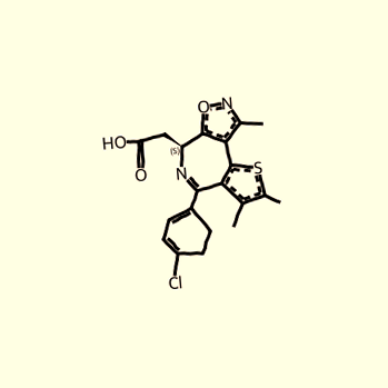 Cc1noc2c1-c1sc(C)c(C)c1C(C1=CC=C(Cl)CC1)=N[C@H]2CC(=O)O